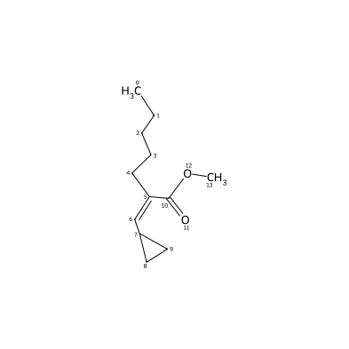 CCCCCC(=CC1CC1)C(=O)OC